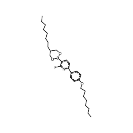 CCCCCCCCOc1ccc(-c2ccc(B3OCC(CCCCCCCC)CO3)c(F)n2)cc1